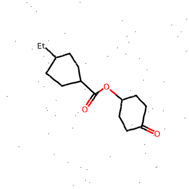 CCC1CCC(C(=O)OC2CCC(=O)CC2)CC1